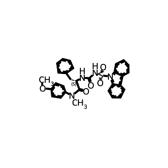 COc1ccc(N(C)C(=O)[C@H](Cc2ccccc2)NC(=O)NS(=O)(=O)n2c3ccccc3c3ccccc32)cc1